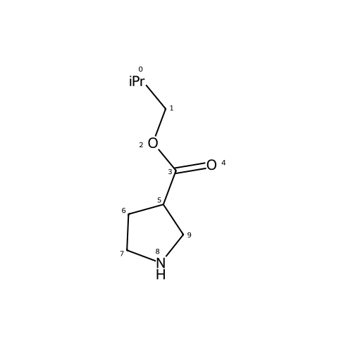 CC(C)COC(=O)C1CCNC1